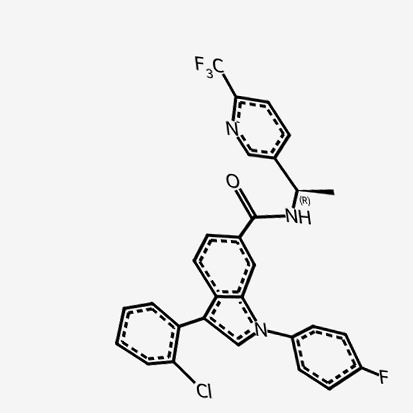 C[C@@H](NC(=O)c1ccc2c(-c3ccccc3Cl)cn(-c3ccc(F)cc3)c2c1)c1ccc(C(F)(F)F)nc1